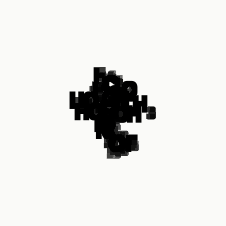 CN(C(=O)c1ccc(F)c(F)c1)[C@H]1O[C@H](CO)[C@H](O)[C@H](n2cc(-c3cccc(F)c3)nn2)[C@H]1O